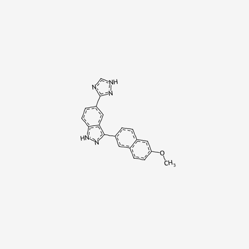 COc1ccc2cc(-c3n[nH]c4ccc(-c5nc[nH]n5)cc34)ccc2c1